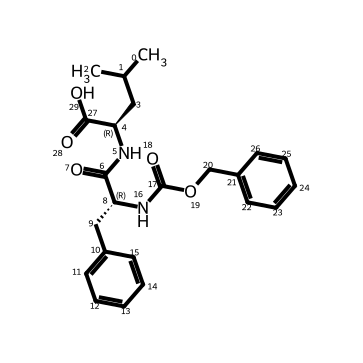 CC(C)C[C@@H](NC(=O)[C@@H](Cc1ccccc1)NC(=O)OCc1ccccc1)C(=O)O